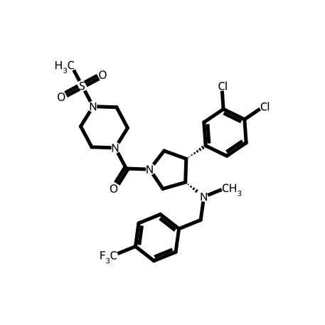 CN(Cc1ccc(C(F)(F)F)cc1)[C@@H]1CN(C(=O)N2CCN(S(C)(=O)=O)CC2)C[C@@H]1c1ccc(Cl)c(Cl)c1